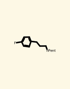 CCCCCCCCc1ccc(F)cc1